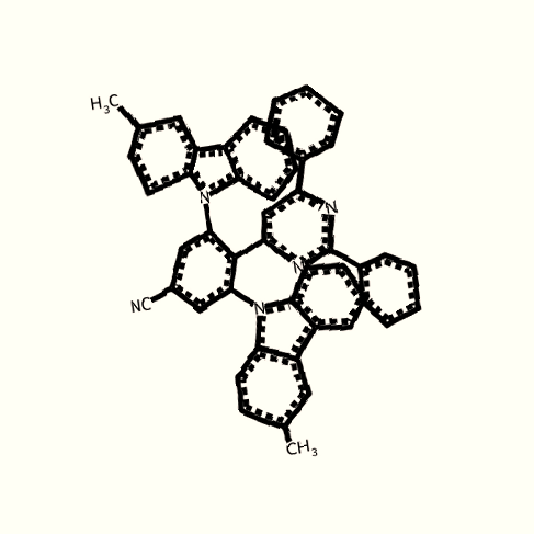 Cc1ccc2c(c1)c1ccccc1n2-c1cc(C#N)cc(-n2c3ccccc3c3cc(C)ccc32)c1-c1cc(-c2ccccc2)nc(-c2ccccc2)n1